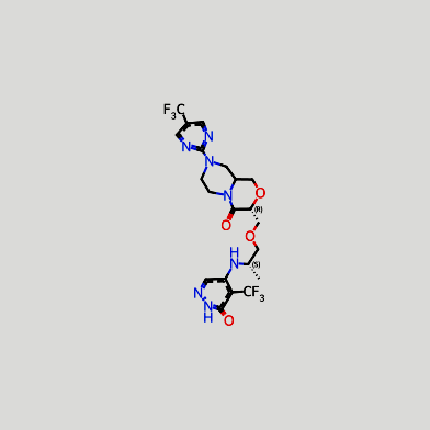 C[C@@H](COC[C@H]1OCC2CN(c3ncc(C(F)(F)F)cn3)CCN2C1=O)Nc1cn[nH]c(=O)c1C(F)(F)F